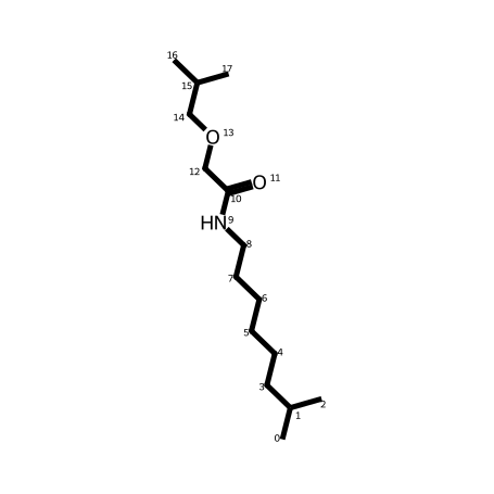 CC(C)CCCCCCNC(=O)COCC(C)C